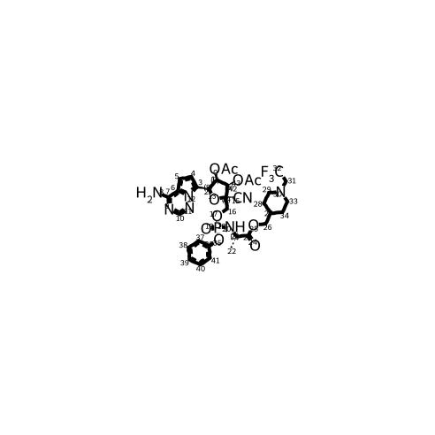 CC(=O)O[C@@H]1[C@H](c2ccc3c(N)ncnn23)O[C@](C#N)(COP(=O)(N[C@@H](C)C(=O)OCC2CCN(CC(F)(F)F)CC2)Oc2ccccc2)[C@H]1OC(C)=O